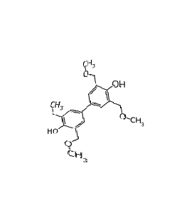 CCc1cc(-c2cc(COC)c(O)c(COC)c2)cc(COC)c1O